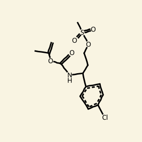 C=C(C)OC(=O)NC(CCOS(C)(=O)=O)c1ccc(Cl)cc1